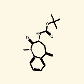 C=C1C[C@H](NC(=O)OC(C)(C)C)C(=O)N(C)c2ccccc21